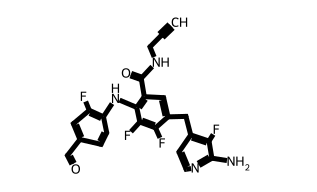 C#CCNC(=O)c1cc(Cc2ccnc(N)c2F)c(F)c(F)c1Nc1ccc(C=O)cc1F